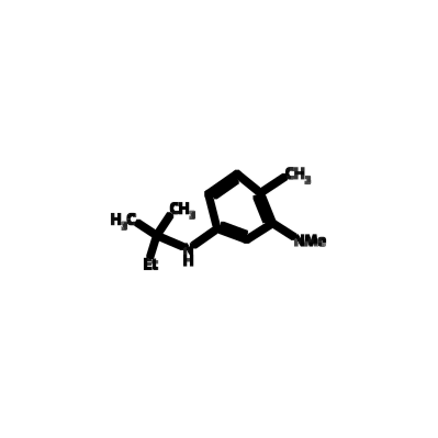 CCC(C)(C)Nc1ccc(C)c(NC)c1